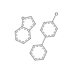 Clc1ccc(-c2ccccc2)cc1.c1ccc2occc2c1